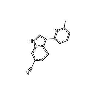 Cc1cccc(-c2c[nH]c3cc(C#N)ccc23)n1